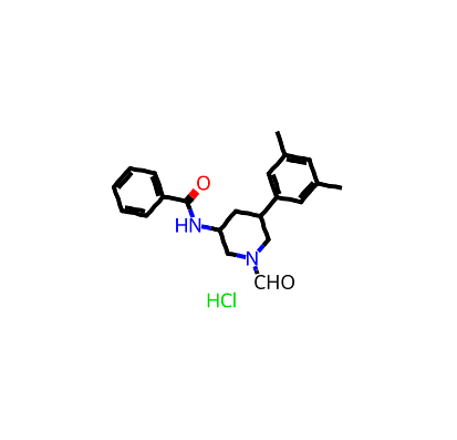 Cc1cc(C)cc(C2CC(NC(=O)c3ccccc3)CN(C=O)C2)c1.Cl